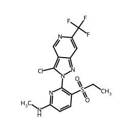 CCS(=O)(=O)c1ccc(NC)nc1-n1nc2cc(C(F)(F)F)ncc2c1Cl